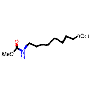 CCCCCCCCCCCCCCCCNC(=O)OC